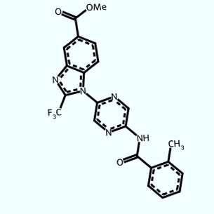 COC(=O)c1ccc2c(c1)nc(C(F)(F)F)n2-c1cnc(NC(=O)c2ccccc2C)cn1